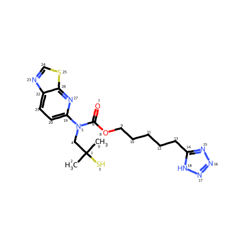 CC(C)(S)CN(C(=O)OCCCCCc1nnn[nH]1)c1ccc2ncsc2n1